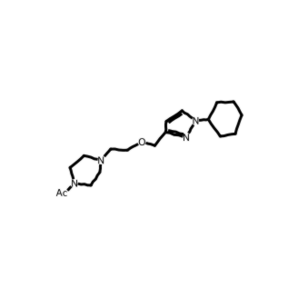 CC(=O)N1CCN(CCOCc2ccn(C3CCCCC3)n2)CC1